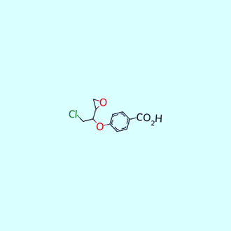 O=C(O)c1ccc(OC(CCl)C2CO2)cc1